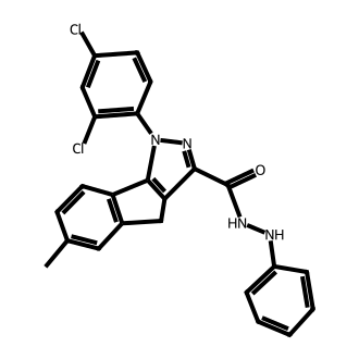 Cc1ccc2c(c1)Cc1c(C(=O)NNc3ccccc3)nn(-c3ccc(Cl)cc3Cl)c1-2